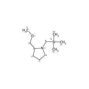 COCC1CCCN1C[Si](C)(C)C